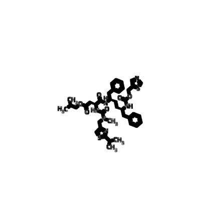 CC(C)COC(=O)C[C@H](NC(=O)N(C)Cc1csc(C(C)C)n1)C(=O)N[C@H](CC[C@H](Cc1ccccc1)NC(=O)OCc1cncs1)Cc1ccccc1